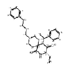 CC(C)C[C@@H]1NC(=O)C2(CCN(CCCCc3ccccc3)CC2)N(C(C)c2ccccc2)C1=O